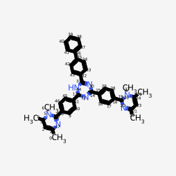 CC1=CC(C)N(C)C(c2ccc(C3N=C(c4ccc(C5N=C(C)C=C(C)N5C)cc4)N=C(c4ccc(-c5ccccc5)cc4)N3)cc2)=N1